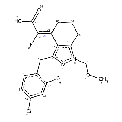 COCn1nc(Cc2ccc(Cl)cc2Cl)c2c1CCC/C2=C(/F)C(=O)O